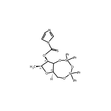 CC(C)[Si]1(C(C)C)OC[C@H]2O[C@@H](C)[C@@H](OC(=S)n3ccnc3)C2O[Si](C(C)C)(C(C)C)O1